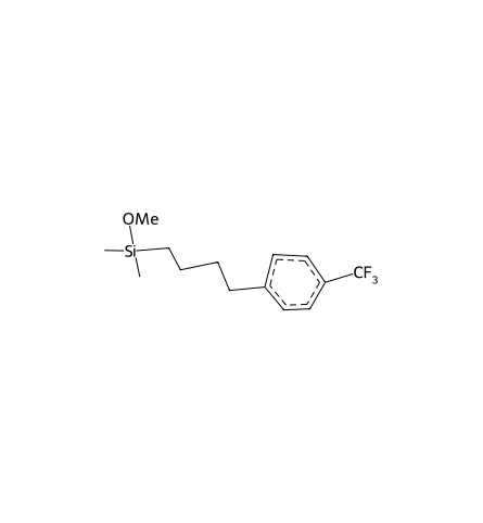 CO[Si](C)(C)CCCCc1ccc(C(F)(F)F)cc1